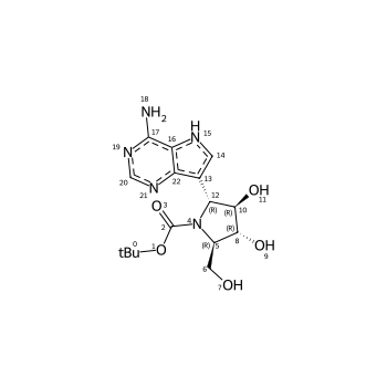 CC(C)(C)OC(=O)N1[C@H](CO)[C@@H](O)[C@H](O)[C@H]1c1c[nH]c2c(N)ncnc12